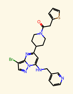 O=C(Cc1cccs1)N1CCC(c2cc(NCc3cccnc3)n3ncc(Br)c3n2)CC1